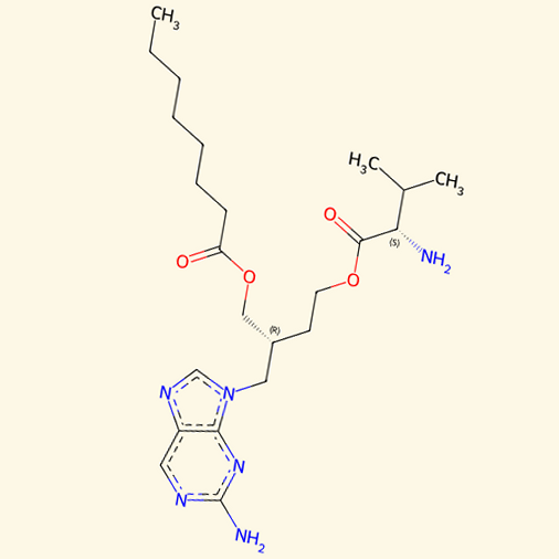 CCCCCCCC(=O)OC[C@H](CCOC(=O)[C@@H](N)C(C)C)Cn1cnc2cnc(N)nc21